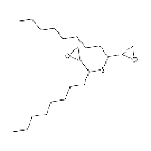 CCCCCCCCC(SC(CCCCCCCC)C1CO1)C1CO1